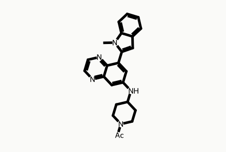 CC(=O)N1CCC(Nc2cc(-c3cc4ccccc4n3C)c3nccnc3c2)CC1